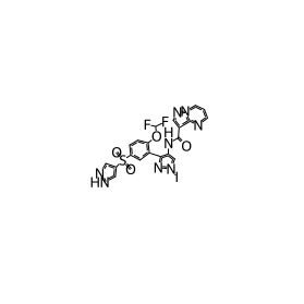 O=C(Nc1cn(I)nc1-c1cc(S(=O)(=O)c2cn[nH]c2)ccc1OC(F)F)c1cnn2cccnc12